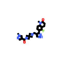 CN1C(=O)CCc2c1ccc(-c1n[nH]cc1CN1CC3(C1)CN(C(=O)c1cnn(C)c1)C3)c2F